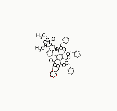 CCOC(=O)c1cnc2c(-c3c(C(=O)OCc4ccccc4)c(C(=O)OCc4ccccc4)c(C(=O)OCc4ccccc4)c(C(=O)OCc4ccccc4)c3C(=O)OCc3ccccc3)cccc2c1N(C)C